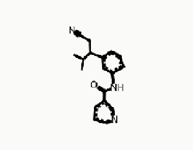 CC(C)C(CC#N)c1cccc(NC(=O)c2cccnc2)c1